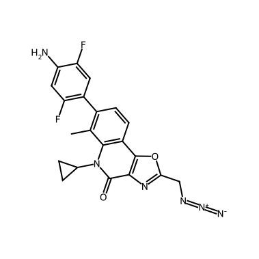 Cc1c(-c2cc(F)c(N)cc2F)ccc2c3oc(CN=[N+]=[N-])nc3c(=O)n(C3CC3)c12